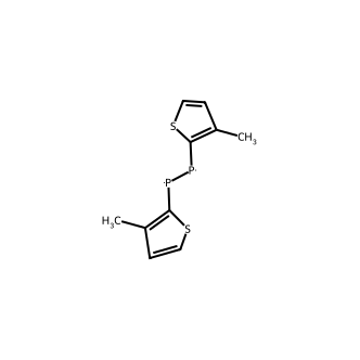 Cc1ccsc1[P][P]c1sccc1C